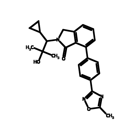 Cc1nc(-c2ccc(-c3cccc4c3C(=O)N(C(C3CC3)C(C)(C)O)C4)cc2)no1